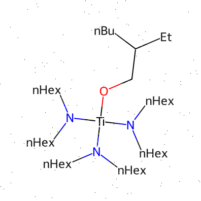 CCCCCC[N](CCCCCC)[Ti]([O]CC(CC)CCCC)([N](CCCCCC)CCCCCC)[N](CCCCCC)CCCCCC